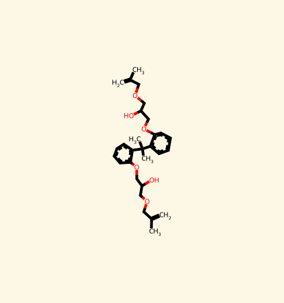 C=C(C)COCC(O)COc1ccccc1C(C)(C)c1ccccc1OCC(O)COCC(=C)C